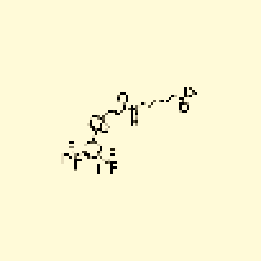 COC(=O)CCCCCNC(=O)C=Cc1ccc(-c2cc(C(F)(F)F)cc(C(F)(F)F)c2)o1